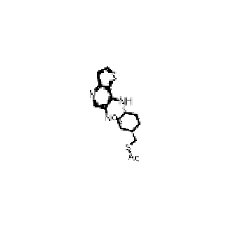 CC(=O)SC[C@H]1CC[C@H](Nc2c([N+](=O)[O-])cnc3ccsc23)CC1